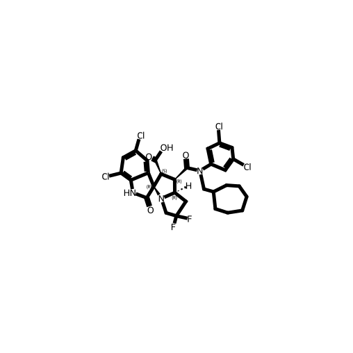 O=C(O)[C@H]1[C@@H](C(=O)N(CC2CCCCCC2)c2cc(Cl)cc(Cl)c2)[C@H]2CC(F)(F)CN2[C@]12C(=O)Nc1c(Cl)cc(Cl)cc12